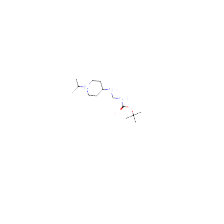 CC(C)N1CCC(N[C]NC(=O)OC(C)(C)C)CC1